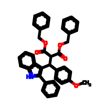 COc1ccc(C(c2c(-c3ccccc3)[nH]c3ccccc23)C(C(=O)OCc2ccccc2)C(=O)OCc2ccccc2)cc1